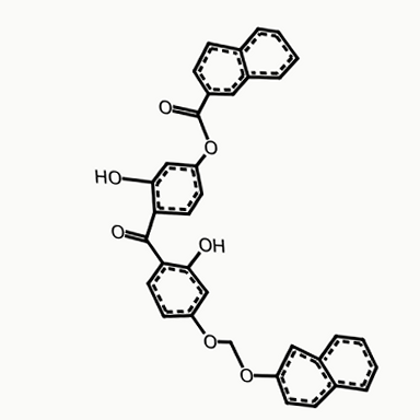 O=C(Oc1ccc(C(=O)c2ccc(OCOc3ccc4ccccc4c3)cc2O)c(O)c1)c1ccc2ccccc2c1